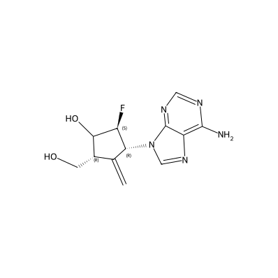 C=C1[C@@H](n2cnc3c(N)ncnc32)[C@H](F)C(O)[C@H]1CO